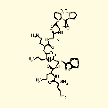 C[C@H](NC(=O)[C@H](CCN)NC(=O)[C@H](CCN)NC(=O)[C@H](Cc1c[nH]c2ccccc12)NC(=O)[C@H](CCN)NC(=O)[C@H](N)CCN)C(=O)N[C@@H](CO)C(=O)N1CCC[C@@H]1C(=O)N1CCC[C@H]1C(=O)O